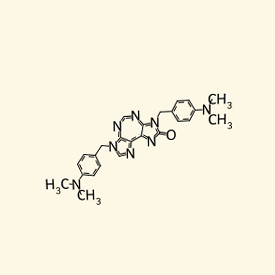 CN(C)c1ccc(Cn2c3ncnc4c(ncn4Cc4ccc(N(C)C)cc4)c-3nc2=O)cc1